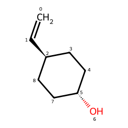 C=C[C@H]1CC[C@H](O)CC1